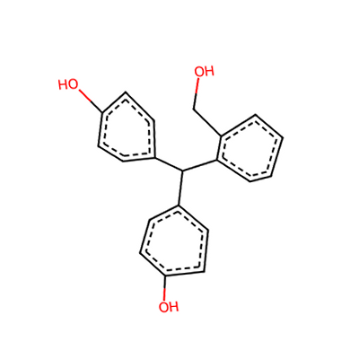 OCc1ccccc1C(c1ccc(O)cc1)c1ccc(O)cc1